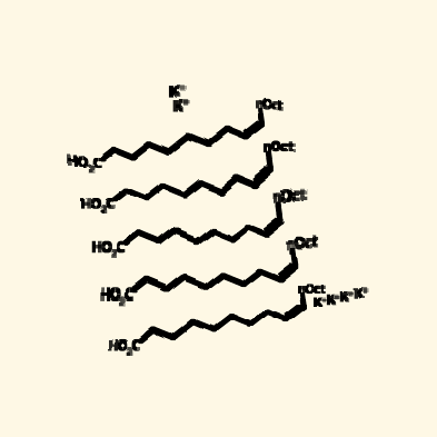 CCCCCCCC/C=C\CCCCCCCC(=O)O.CCCCCCCC/C=C\CCCCCCCC(=O)O.CCCCCCCC/C=C\CCCCCCCC(=O)O.CCCCCCCC/C=C\CCCCCCCC(=O)O.CCCCCCCC/C=C\CCCCCCCC(=O)O.[K+].[K+].[K+].[K+].[K+].[K+]